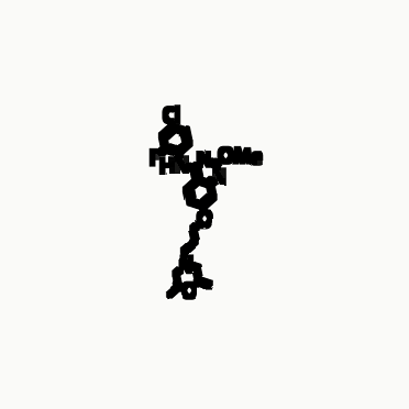 COc1nc(Nc2ccc(Cl)cc2F)c2ccc(OCCCN3CC(C)OC(C)C3)cc2n1